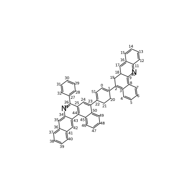 C1=C(C2=c3ccccc3=C3N=c4ccccc4=CC3C2)CCC(c2cc3c(-c4ccccc4)nc4cc5ccccc5cc4c3c3ccccc23)=C1